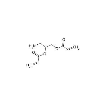 C=CC(=O)OCC(CN)OC(=O)C=C